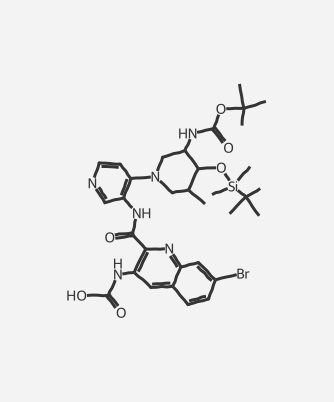 CC1CN(c2ccncc2NC(=O)c2nc3cc(Br)ccc3cc2NC(=O)O)CC(NC(=O)OC(C)(C)C)C1O[Si](C)(C)C(C)(C)C